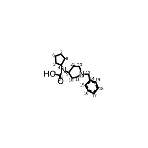 O=C(O)N(C1CCCC1)C1CCN(Cc2ccccc2)CC1